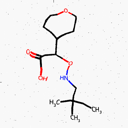 CC(C)(C)CNOC(C(=O)O)C1CCOCC1